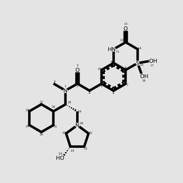 CN(C(=O)Cc1ccc2c(c1)NC(=O)CS2(O)O)[C@H](CN1CC[C@H](O)C1)C1CCCCC1